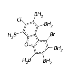 Bc1c(B)c(Br)c2c(oc3c(B)c(Cl)c(B)c(B)c32)c1B